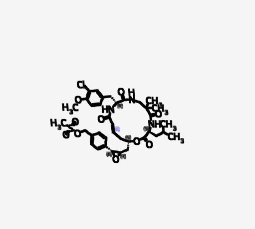 COc1ccc(C[C@H]2NC(=O)/C=C/C[C@@H](C[C@H]3O[C@@H]3c3ccc(COS(C)(=O)=O)cc3)OC(=O)[C@H](CC(C)C)NC(=O)C(C)(C)CNC2=O)cc1Cl